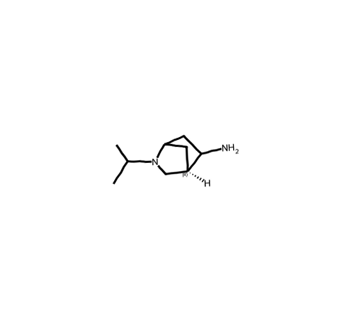 CC(C)N1C[C@H]2CC1CC2N